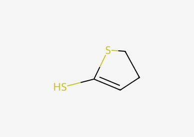 SC1=CCCS1